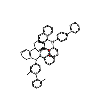 Cc1ccccc1-c1ccc(N(C2=C(C3C=C(c4ccccc4N(c4ccc(-c5ccccc5)cc4)c4cccc5ccccc45)C=CC3)C=CCC2)c2cccc3ccccc23)cc1C